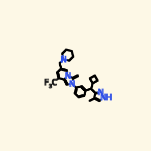 C=C1N2C=C(CN3CCCCC3)C=C(C(F)(F)F)C2=CN1c1cccc(C(c2n[nH]cc2C)C2CCC2)c1